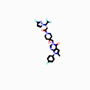 Cc1cc2c(=O)n(CC3(O)CCN(C(=O)C[C@@H](C(F)F)n4ccc(F)n4)CC3)cnc2n1-c1ccc(F)cc1